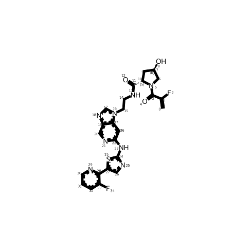 C=C(F)C(=O)N1C[C@H](O)C[C@H]1C(=O)NCCn1cnc2cnc(Nc3ncc(-c4ncccc4F)s3)cc21